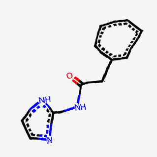 O=C([CH]c1ccccc1)Nc1ncc[nH]1